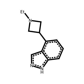 CCN1CC(c2cccc3[nH]ncc23)C1